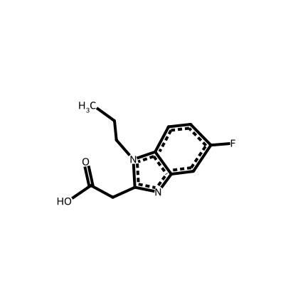 CCCn1c(CC(=O)O)nc2cc(F)ccc21